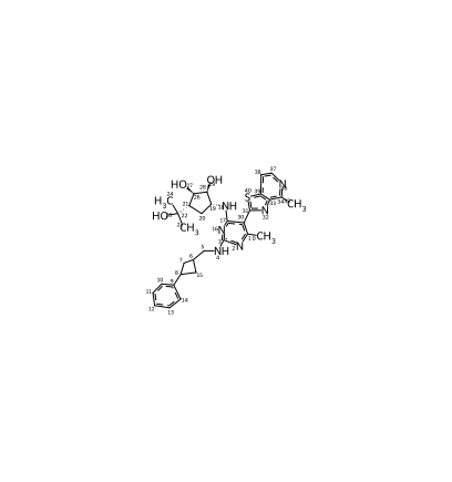 Cc1nc(NCC2CC(c3ccccc3)C2)nc(N[C@@H]2C[C@H](C(C)(C)O)[C@@H](O)[C@H]2O)c1-c1nc2c(C)nccc2s1